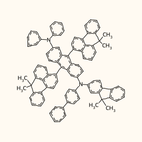 CC1(C)c2ccccc2-c2ccc(N(c3ccc(-c4ccccc4)cc3)c3ccc4c(-c5ccc6c7c(cccc57)C(C)(C)c5ccccc5-6)c5cc(N(c6ccccc6)c6ccccc6)ccc5c(-c5ccc6c7c(cccc57)C(C)(C)c5ccccc5-6)c4c3)cc21